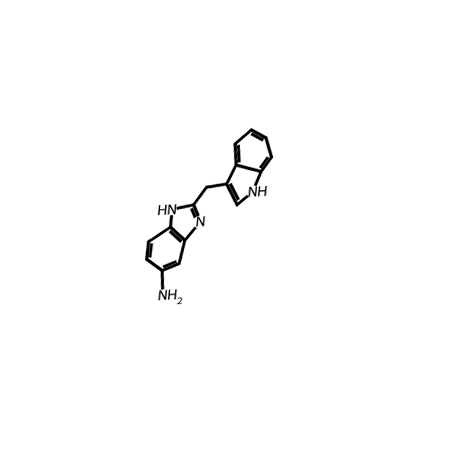 Nc1ccc2[nH]c(Cc3c[nH]c4ccccc34)nc2c1